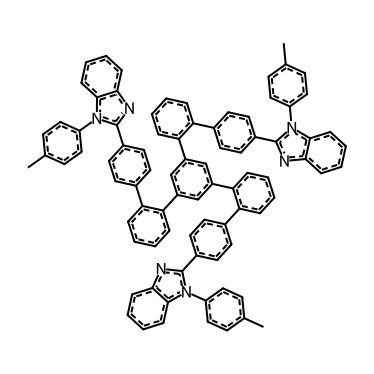 Cc1ccc(-n2c(-c3ccc(-c4ccccc4-c4cc(-c5ccccc5-c5ccc(-c6nc7ccccc7n6-c6ccc(C)cc6)cc5)cc(-c5ccccc5-c5ccc(-c6nc7ccccc7n6-c6ccc(C)cc6)cc5)c4)cc3)nc3ccccc32)cc1